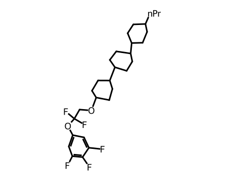 CCCC1CCC(C2CCC(C3CCC(OCC(F)(F)Oc4cc(F)c(F)c(F)c4)CC3)CC2)CC1